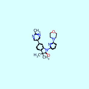 Cc1ncc(-c2ccc3c(c2)N(c2cccc(N4CCOCC4)n2)C(=O)C3(C)C)cn1